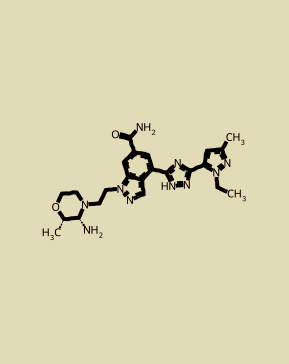 CCn1nc(C)cc1-c1n[nH]c(-c2cc(C(N)=O)cc3c2cnn3CCN2CCO[C@@H](C)[C@H]2N)n1